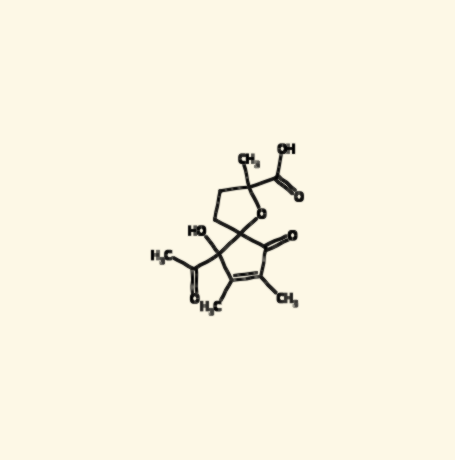 CC(=O)C1(O)C(C)=C(C)C(=O)C12CCC(C)(C(=O)O)O2